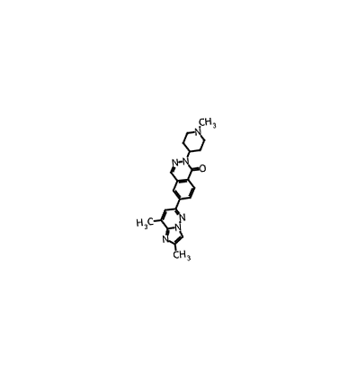 Cc1cn2nc(-c3ccc4c(=O)n(C5CCN(C)CC5)ncc4c3)cc(C)c2n1